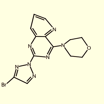 Brc1cnn(-c2nc(N3CCOCC3)c3ncccc3n2)n1